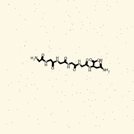 NCC(=O)NCC(=O)NCC(=O)NCC(=O)NCC(=O)NC(CC(N)=O)C(=O)O